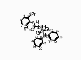 CC(C)c1cccc(C(C)C)c1NC(=O)NS(=O)(=O)N(c1ccccc1)c1ccccc1